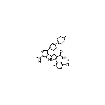 CNc1ncc(-c2ccc(N3CCN(C)CC3)cc2)c(-c2cc(C(N)=O)c(-c3cc(Cl)ccc3C)[nH]2)n1